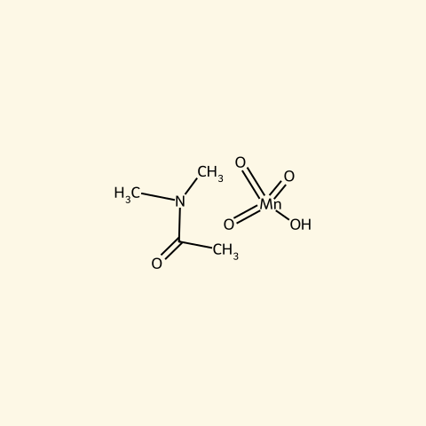 CC(=O)N(C)C.[O]=[Mn](=[O])(=[O])[OH]